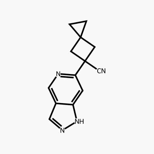 N#CC1(c2cc3[nH]ncc3cn2)CC2(CC2)C1